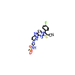 CCc1nc2ccc(N3CC(NS(C)(=O)=O)C3)nn2c1N(C)c1nc(-c2ccc(F)cc2)c(C#N)s1